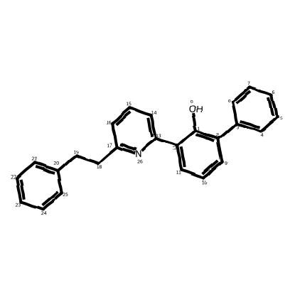 Oc1c(-c2ccccc2)cccc1-c1cccc(CCc2ccccc2)n1